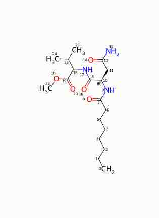 CCCCCCCC(=O)N[C@H](CC(N)=O)C(=O)NC(C(=O)OC)C(C)C